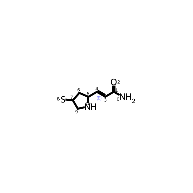 NC(=O)/C=C/C1CC([S])CN1